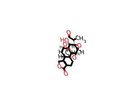 CC(C=O)[C@]12O[C@H]1[C@@H]1O[C@]13[C@]1(O[C@H]1C[C@H]1C4=C(CC[C@@]13C)C(=O)OC4)[C@@H]2O